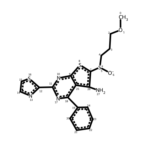 COCCC[S+]([O-])c1sc2nc(-c3nccs3)nc(-c3ccccc3)c2c1N